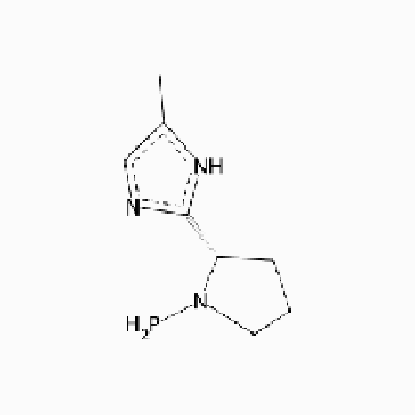 Cc1cnc([C@@H]2CCCN2P)[nH]1